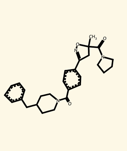 CC1(C(=O)N2CCCC2)CC(c2ccc(C(=O)N3CCC(Cc4ccccc4)CC3)cc2)=NO1